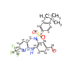 CC(C)(C)c1ccc(S(=O)(=O)N2Cc3ccc(C(F)(F)F)nc3Nc3ccc(C=O)cc32)cc1